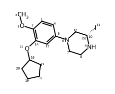 COc1ccc(N2CCN[C@@H](I)C2)cc1OC1CCCC1